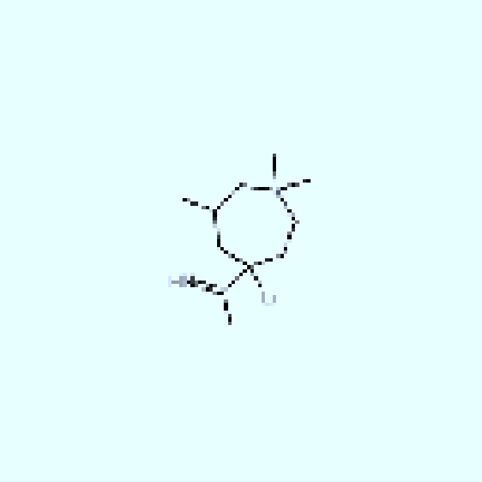 [Li][C]1(C(C)=N)CCC(C)(C)CC(C)C1